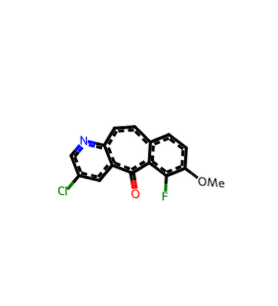 COc1ccc2ccc3ncc(Cl)cc3c(=O)c2c1F